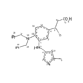 Cc1ncc(Nc2cc(C(C)CC(=O)O)ccc2N(CC(C)C)CC(C)C)s1